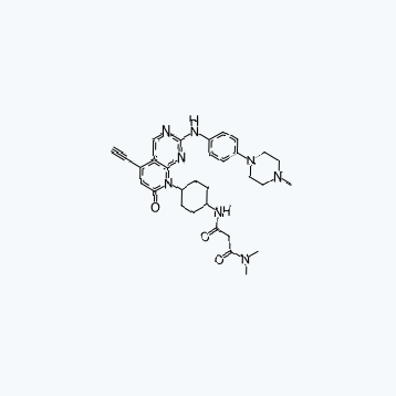 C#Cc1cc(=O)n(C2CCC(NC(=O)CC(=O)N(C)C)CC2)c2nc(Nc3ccc(N4CCN(C)CC4)cc3)ncc12